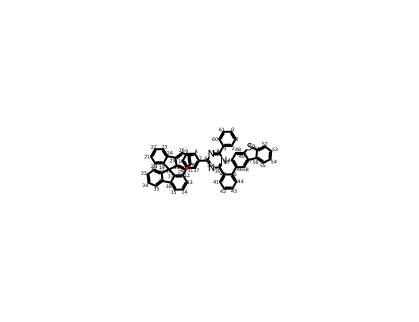 c1ccc(-c2nc(-c3cccc(-c4cccc5c4C4(c6ccccc6-c6ccccc64)c4ccccc4-5)c3)nc(-c3ccccc3-c3ccc4sc5ccccc5c4c3)n2)cc1